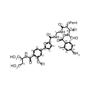 CCCCCC(C(=O)NCNC(=O)c1ccc(-c2ccc(C(=O)NC(CC(=O)O)C(=O)O)c(OCC)c2)o1)[C@@H](CC)N(C=O)OC(=O)c1ccc(N)cc1C